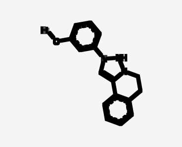 CCOc1cccc(N2C=C3c4ccccc4CCN3N2)c1